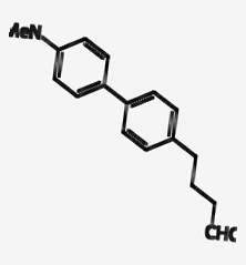 CNc1ccc(-c2ccc(CCCC=O)cc2)cc1